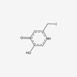 O=c1cc(CI)[nH]cc1O